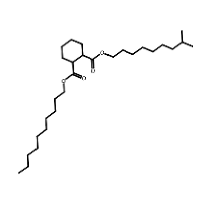 CCCCCCCCCCOC(=O)C1CCCCC1C(=O)OCCCCCCCC(C)C